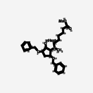 CCCCCCCOC1C(OCc2ccccc2)CC(OCc2ccccc2)C1N(C)CCCCCC(=O)OC